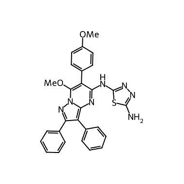 COc1ccc(-c2c(Nc3nnc(N)s3)nc3c(-c4ccccc4)c(-c4ccccc4)nn3c2OC)cc1